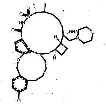 CC(=O)N[C@@]1(CN2CCOCC2)CCC[C@H](C)[C@@H](C)S(=O)(=O)NC(=O)c2ccc3c(c2)N(CCCCc2cc(Cl)ccc2CO3)C[C@@H]2CC[C@H]21